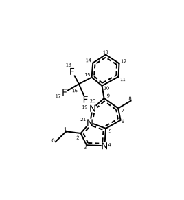 CCc1cnc2cc(C)c(-c3ccccc3C(F)(F)F)nn12